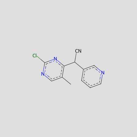 Cc1cnc(Cl)nc1C(C#N)c1cccnc1